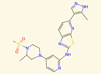 Cc1[nH]ncc1-c1ccc2nc(Nc3cc(N4CCN(S(C)(=O)=O)C(C)C4)ccn3)sc2n1